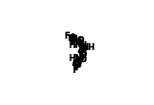 O=C(Nc1n[nH]c2sc(C(=O)Nc3ccc(F)cc3)cc12)c1ccc(F)cc1